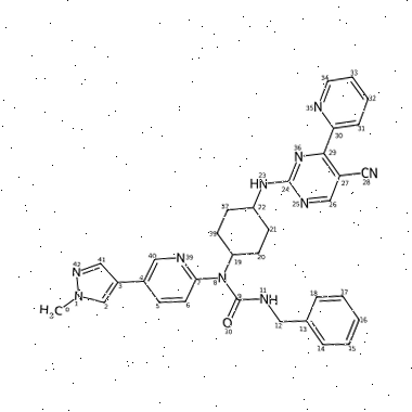 Cn1cc(-c2ccc(N(C(=O)NCc3ccccc3)C3CCC(Nc4ncc(C#N)c(-c5ccccn5)n4)CC3)nc2)cn1